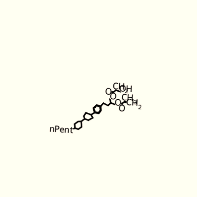 C=C(C)C(=O)OCC(CCc1ccc(C2CCC(C3CCC(CCCCC)CC3)CC2)cc1)COC(=O)C(=C)CO